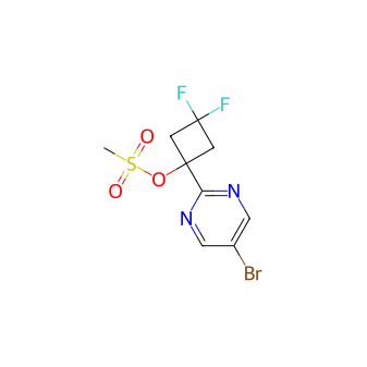 CS(=O)(=O)OC1(c2ncc(Br)cn2)CC(F)(F)C1